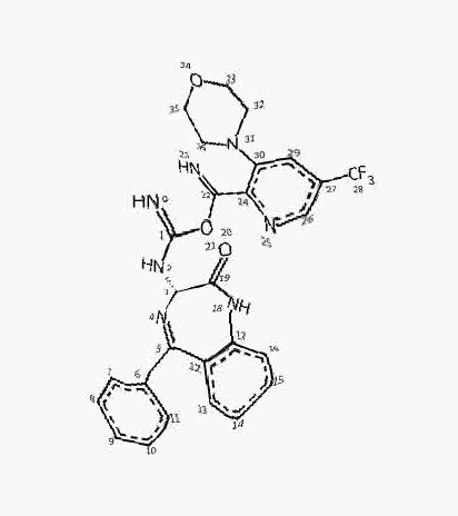 N=C(N[C@H]1N=C(c2ccccc2)c2ccccc2NC1=O)OC(=N)c1ncc(C(F)(F)F)cc1N1CCOCC1